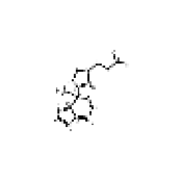 CC(C)CCC1CSC(C2(N)N=CN=C3N=CN=C32)=N1